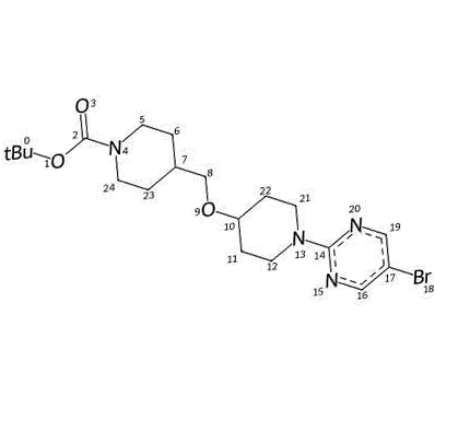 CC(C)(C)OC(=O)N1CCC(COC2CCN(c3ncc(Br)cn3)CC2)CC1